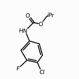 CC(C)OC(=O)Nc1ccc(Cl)c(F)c1